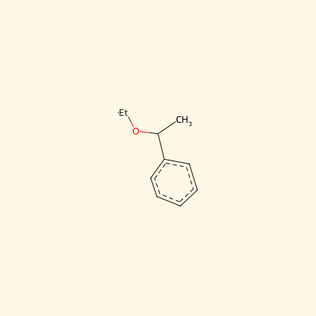 C[CH]OC(C)c1ccccc1